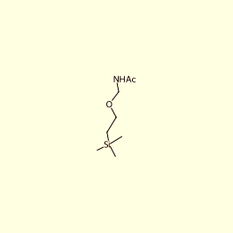 CC(=O)NCOCC[Si](C)(C)C